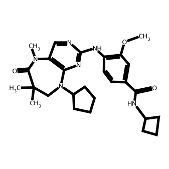 COc1cc(C(=O)NC2CCC2)ccc1Nc1ncc2c(n1)N(C1CCCC1)CC(C)(C)C(=O)N2C